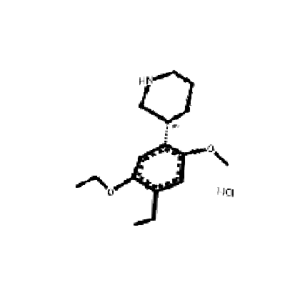 CCOc1cc([C@H]2CCCNC2)c(OC)cc1CC.Cl